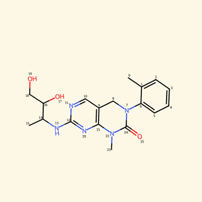 Cc1ccccc1N1Cc2cnc(NC(C)C(O)CO)nc2N(C)C1=O